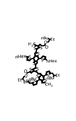 CCCCCCc1ccc(-c2c3cc(-c4sc(-c5cc6c(-c7ccc(CC(CC)CCCC)s7)c7sc(C)cc7c(-c7ccc(CC(CC)CCCC)s7)c6s5)c5cc(C(=O)OCC(CC)CCCC)sc45)sc3c(-c3ccc(CCCCCC)s3)c3cc(-c4sc(C)c5cc(C(=O)OCC(CC)CCCC)sc45)sc23)s1